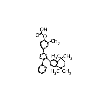 Cc1cc(-c2ccc(-c3ccccc3)c(-c3ccc4c(c3)C(C)(C)CCC4(C)C)c2)ccc1OC(=O)O